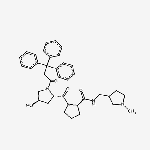 CN1CCC(CNC(=O)[C@H]2CCCN2C(=O)[C@@H]2C[C@@H](O)CN2C(=O)CC(c2ccccc2)(c2ccccc2)c2ccccc2)C1